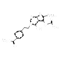 CNc1nc2ncn(CCc3ccc(C(=O)OC)cc3)c(O)c-2c1OC(=O)C(C)(C)C